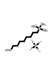 CCCCCCCCCCCCCCCCCC[P+](CCCC)(CCCC)CCCC.F[B-](F)(F)F